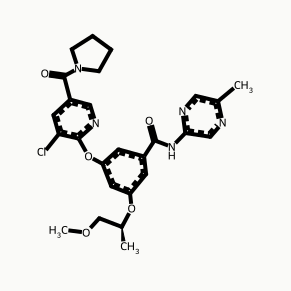 COC[C@H](C)Oc1cc(Oc2ncc(C(=O)N3CCCC3)cc2Cl)cc(C(=O)Nc2cnc(C)cn2)c1